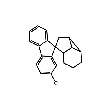 Clc1ccc2c(c1)C1(CC3C4CCCC1C43)c1ccccc1-2